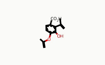 C=C(C)Oc1ccc(C(=O)O)c(C(=C)C)c1O